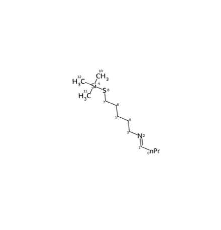 CCC/C=N/CCCCCS[Si](C)(C)C